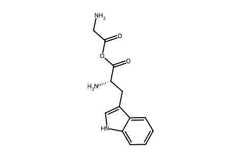 NCC(=O)OC(=O)[C@@H](N)Cc1c[nH]c2ccccc12